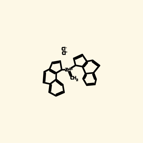 [CH2]=[Zr+2]([CH]1C=Cc2ccc3ccccc3c21)[CH]1C=Cc2ccc3ccccc3c21.[Cl-].[Cl-]